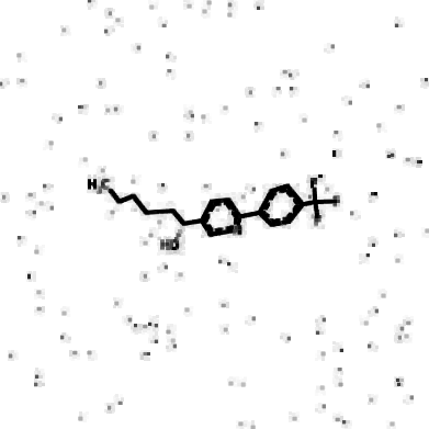 CCCCC[C@@H](O)c1ccc(-c2ccc(C(F)(F)F)cc2)nc1